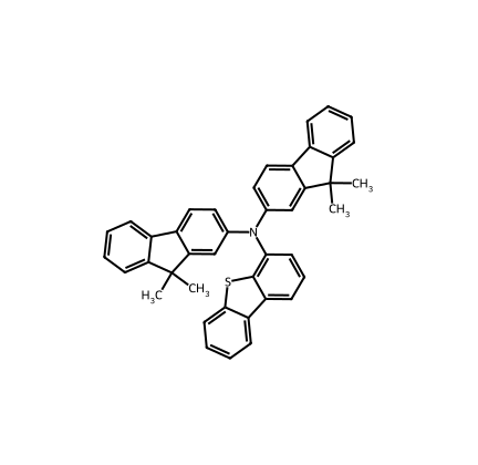 CC1(C)c2ccccc2-c2ccc(N(c3ccc4c(c3)C(C)(C)c3ccccc3-4)c3cccc4c3sc3ccccc34)cc21